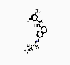 O=C(/C=C/c1ccc2c(c1)CCCC2NC(=O)c1cc(C(F)(F)F)cc(C(F)(F)F)c1)NOPI